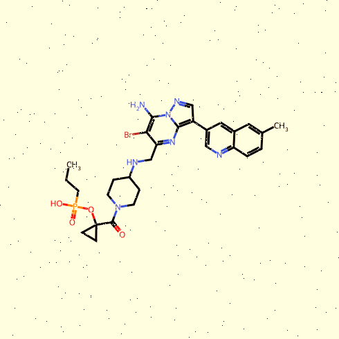 CCCP(=O)(O)OC1(C(=O)N2CCC(NCc3nc4c(-c5cnc6ccc(C)cc6c5)cnn4c(N)c3Br)CC2)CC1